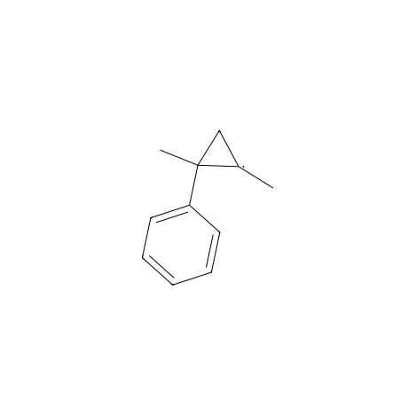 C[C]1CC1(C)c1ccccc1